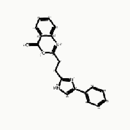 O=c1oc(CCc2nc(-c3ccccc3)c[nH]2)nc2ccccc12